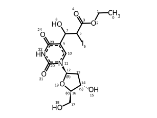 CCOC(=O)C(I)C(O)c1cn([C@H]2C[C@H](O)[C@@H](CO)O2)c(=O)[nH]c1=O